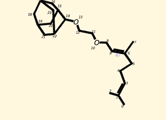 CC(C)=CCC/C(C)=C/COCCOC1C2CC3CC(C2)CC1C3